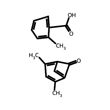 Cc1cc(C)c2cc1C2=O.Cc1ccccc1C(=O)O